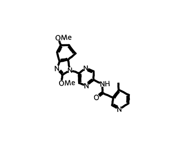 COc1ccc2c(c1)nc(OC)n2-c1cnc(NC(=O)c2cnccc2C)cn1